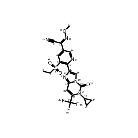 CCS(=O)(=O)c1cc(/C(C#N)=N/OC)cnc1-c1cn2c(=O)n(C3CC3)c(C(F)(F)F)cc2n1